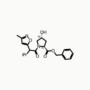 Cc1cc(C(C(=O)N2C[C@H](O)C[C@H]2C(=O)OCc2ccccc2)C(C)C)on1